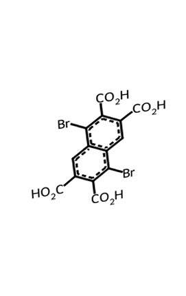 O=C(O)c1cc2c(Br)c(C(=O)O)c(C(=O)O)cc2c(Br)c1C(=O)O